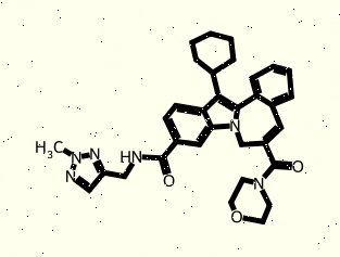 Cn1ncc(CNC(=O)c2ccc3c(C4CCCCC4)c4n(c3c2)CC(C(=O)N2CCOCC2)=Cc2ccccc2-4)n1